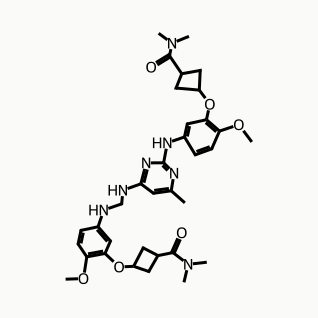 COc1ccc(NCNc2cc(C)nc(Nc3ccc(OC)c(OC4CC(C(=O)N(C)C)C4)c3)n2)cc1OC1CC(C(=O)N(C)C)C1